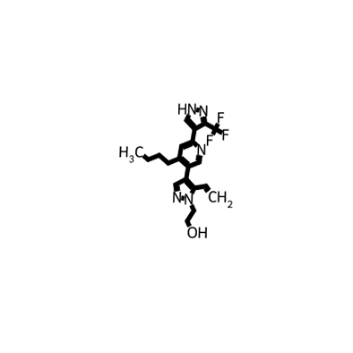 C=Cc1c(-c2cnc(-c3c[nH]nc3C(F)(F)F)cc2CCCC)cnn1CCO